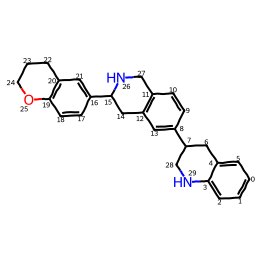 c1ccc2c(c1)CC(c1ccc3c(c1)CC(c1ccc4c(c1)CCCO4)NC3)CN2